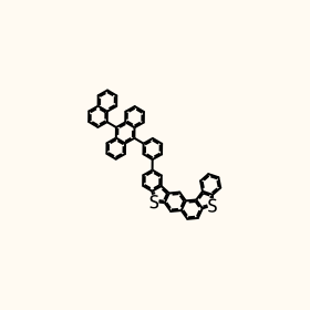 c1cc(-c2ccc3sc4cc5ccc6sc7ccccc7c6c5cc4c3c2)cc(-c2c3ccccc3c(-c3cccc4ccccc34)c3ccccc23)c1